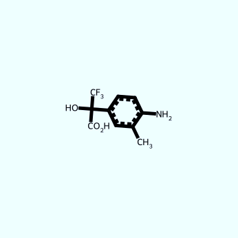 Cc1cc(C(O)(C(=O)O)C(F)(F)F)ccc1N